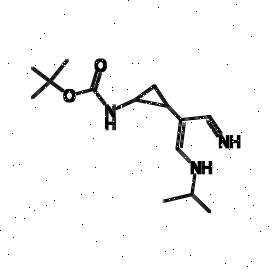 CC(C)N/C=C(\C=N)C1CC1NC(=O)OC(C)(C)C